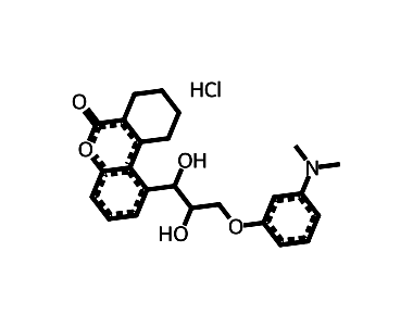 CN(C)c1cccc(OCC(O)C(O)c2cccc3oc(=O)c4c(c23)CCCC4)c1.Cl